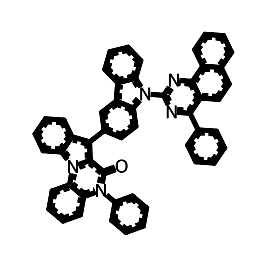 O=c1c2c(-c3ccc4c(c3)c3ccccc3n4-c3nc(-c4ccccc4)c4ccc5ccccc5c4n3)c3ccccc3n2c2ccccc2n1-c1ccccc1